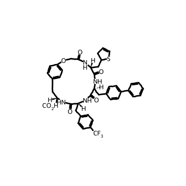 O=C1COc2ccc(cc2)C[C@@H](C(=O)O)NC(=O)[C@@H](Cc2ccc(C(F)(F)F)cc2)NC(=O)[C@H](Cc2ccc(-c3ccccc3)cc2)NC(=O)[C@@H](CC2CC=CS2)N1